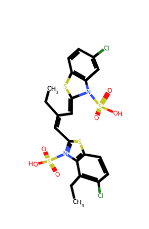 CCC(=Cc1sc2ccc(Cl)c(CC)c2[n+]1S(=O)(=O)O)C=C1Sc2ccc(Cl)cc2N1S(=O)(=O)O